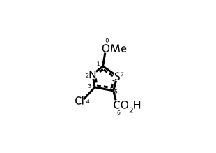 COc1nc(Cl)c(C(=O)O)s1